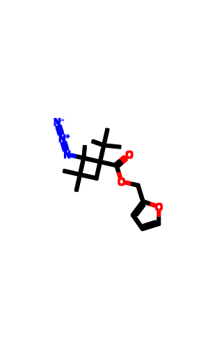 CC(C)(C)C1(C(=O)OCc2ccco2)CC(C)(C)C1(C)N=[N+]=[N-]